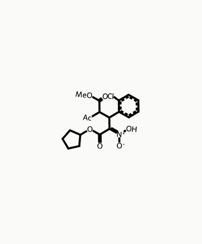 COC(=O)C(C(C)=O)C(C(C(=O)OC1CCCC1)=[N+]([O-])O)c1ccccc1Cl